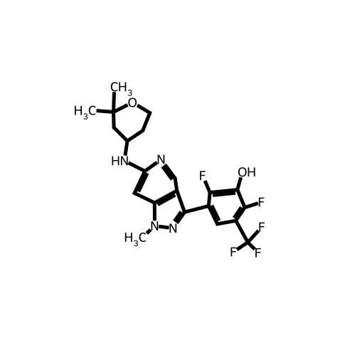 Cn1nc(-c2cc(C(F)(F)F)c(F)c(O)c2F)c2cnc(NC3CCOC(C)(C)C3)cc21